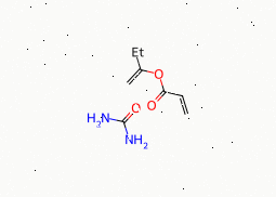 C=CC(=O)OC(=C)CC.NC(N)=O